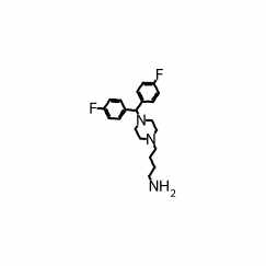 NCCCCN1CCN(C(c2ccc(F)cc2)c2ccc(F)cc2)CC1